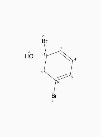 OC1(Br)C=CC=C(Br)C1